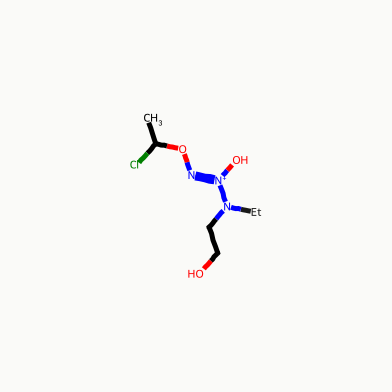 CCN(CCO)/[N+](O)=N/OC(C)Cl